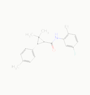 CCc1ccc(F)cc1NC(=O)C1[C@H](c2ccc(C)cc2)C1(C)C